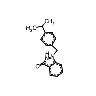 CC(C)c1ccc(Cn2[nH]c(=O)c3ccccc32)cc1